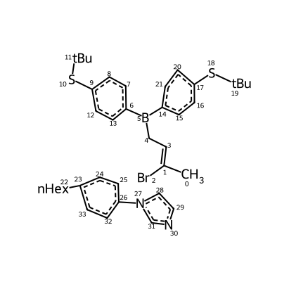 CC(Br)=CCB(c1ccc(SC(C)(C)C)cc1)c1ccc(SC(C)(C)C)cc1.CCCCCCc1ccc(-n2ccnc2)cc1